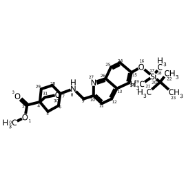 COC(=O)C12CCC(NCc3ccc4cc(O[Si](C)(C)C(C)(C)C)ccc4n3)(CC1)CC2